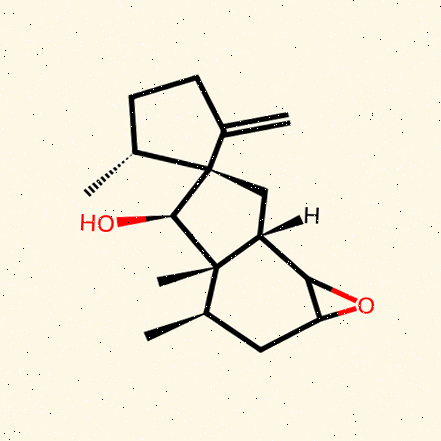 C=C1CC[C@@H](C)[C@]12C[C@@H]1C3OC3C[C@@H](C)[C@]1(C)[C@H]2O